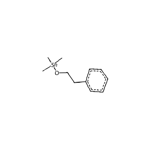 [CH3][Sn]([CH3])([CH3])[O]CCc1ccccc1